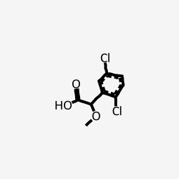 COC(C(=O)O)c1cc(Cl)ccc1Cl